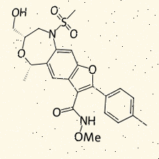 CONC(=O)c1c(-c2ccc(C)cc2)oc2cc3c(cc12)[C@H](C)O[C@H](CO)CN3S(C)(=O)=O